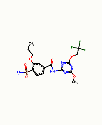 CCCOc1cc(C(=O)Nc2nc(OC)nc(OCC(F)(F)F)n2)ccc1S(N)(=O)=O